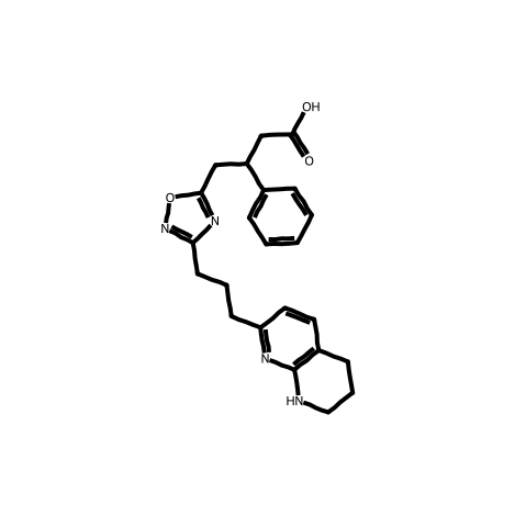 O=C(O)CC(Cc1nc(CCCc2ccc3c(n2)NCCC3)no1)c1ccccc1